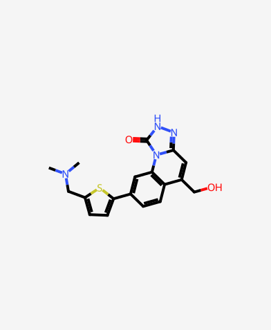 CN(C)Cc1ccc(-c2ccc3c(CO)cc4n[nH]c(=O)n4c3c2)s1